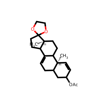 CC(=O)OC1C=C[C@@]2(C)C(CC=C3C2CC[C@@]2(C)C3CCC23OCCO3)C1